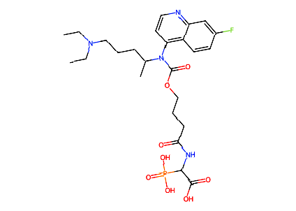 CCN(CC)CCCC(C)N(C(=O)OCCCC(=O)NC(C(=O)O)P(=O)(O)O)c1ccnc2cc(F)ccc12